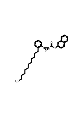 O=C(Oc1ccc2ccccc2c1)[C@@H]1O[C@H]1c1ccccc1CCCCCCCCCCCC(F)(F)F